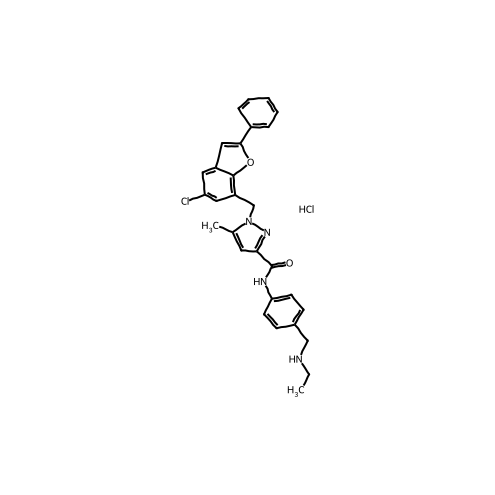 CCNCc1ccc(NC(=O)c2cc(C)n(Cc3cc(Cl)cc4cc(-c5ccccc5)oc34)n2)cc1.Cl